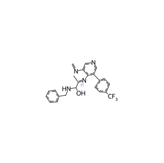 C=Nc1cncc(-c2ccc(C(F)(F)F)cc2)c1/N=C(\C)C(O)NCc1ccccc1